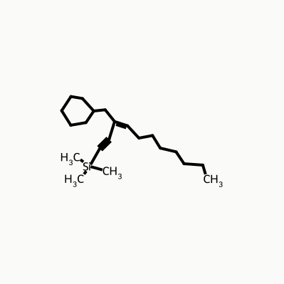 CCCCCCC/C=C(\C#C[Si](C)(C)C)CC1CCCCC1